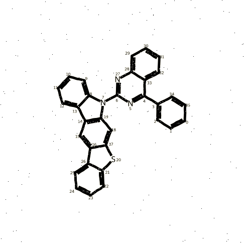 c1ccc(-c2nc(-n3c4ccccc4c4cc5c(cc43)sc3ccccc35)nc3ccccc23)cc1